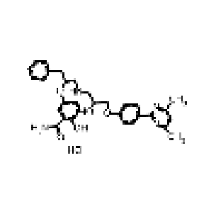 Cc1cc(C)nc(-c2ccc(OCC(O)CNCC(Cc3ccccc3)Oc3ccc(O)c(C(N)=O)c3)cc2)n1.Cl